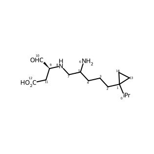 CC(C)C1(CCCC(N)CN[C@H](C=O)CC(=O)O)CC1